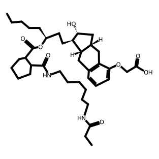 CCCCC[C@@H](CC[C@@H]1[C@H]2Cc3cccc(OCC(=O)O)c3C[C@H]2C[C@H]1O)OC(=O)C1CCCCC1C(=O)NCCCCCCNC(=O)CC